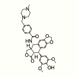 COc1cc([C@@H]2c3cc4c(cc3[C@@H](NC(=O)c3ccc(CN5CCN(C)CC5)cc3)[C@H]3COC(=O)[C@H]23)OCO4)cc(OC)c1O